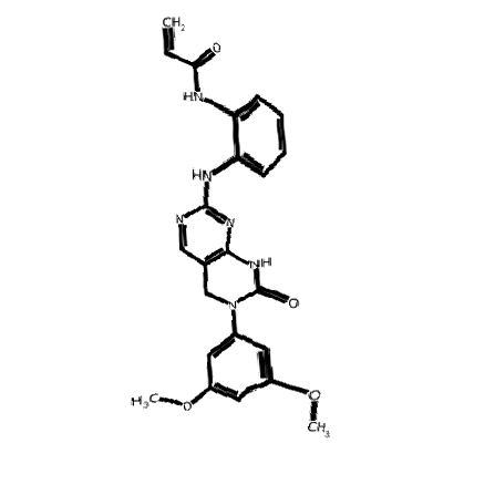 C=CC(=O)Nc1ccccc1Nc1ncc2c(n1)NC(=O)N(c1cc(OC)cc(OC)c1)C2